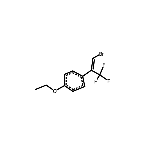 CCOc1ccc(C(=CBr)C(F)(F)F)cc1